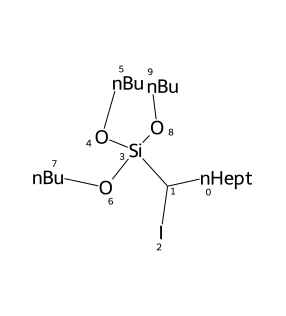 CCCCCCCC(I)[Si](OCCCC)(OCCCC)OCCCC